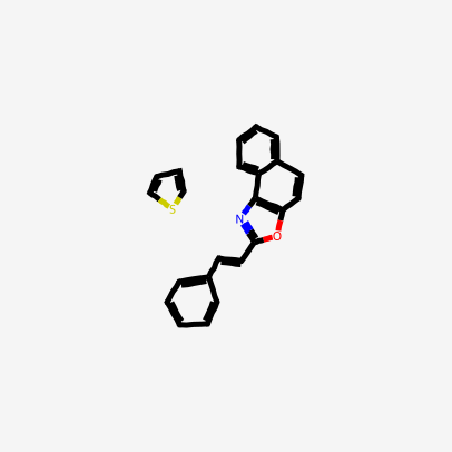 C(=Cc1nc2c(ccc3ccccc32)o1)c1ccccc1.c1ccsc1